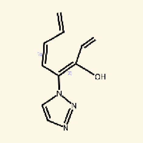 C=C/C=C\C(=C(\O)C=C)n1ccnn1